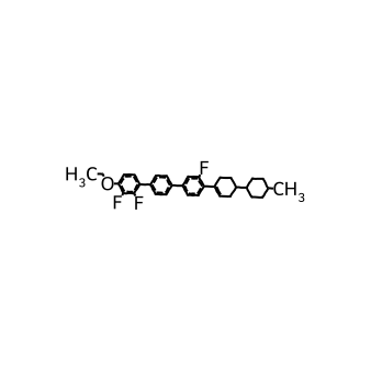 CCOc1ccc(-c2ccc(-c3ccc(C4=CCC(C5CCC(C)CC5)CC4)c(F)c3)cc2)c(F)c1F